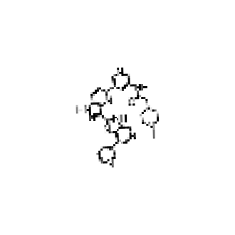 O=C(CC1CCNCC1)Nc1cncc(-c2ccc3[nH]nc(-c4nc5c(-c6cccnc6)cncc5[nH]4)c3n2)c1